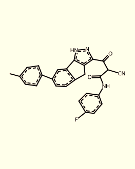 Cc1ccc(-c2ccc3c(c2)-c2[nH]nc(C(=O)C(C#N)C(=O)Nc4ccc(F)cc4)c2C3)cc1